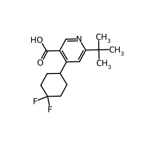 CC(C)(C)c1cc(C2CCC(F)(F)CC2)c(C(=O)O)cn1